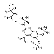 [2H]N(CCCN(c1nc(N([2H])[2H])c2cc(OC([2H])([2H])[2H])c(OC([2H])([2H])[2H])cc2n1)C([2H])([2H])[2H])C(=O)C1([2H])CCCO1